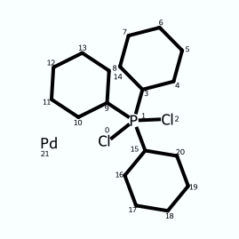 ClP(Cl)(C1CCCCC1)(C1CCCCC1)C1CCCCC1.[Pd]